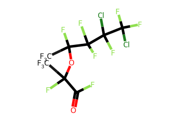 O=C(F)C(F)(OC(F)(C(F)(F)F)C(F)(F)C(F)(Cl)C(F)(F)Cl)C(F)(F)F